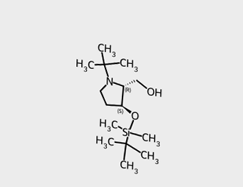 CC(C)(C)N1CC[C@H](O[Si](C)(C)C(C)(C)C)[C@H]1CO